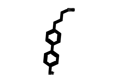 CCCc1ccc(-c2ccc(CCCC=O)cc2)cc1